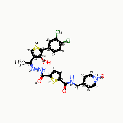 C/C(=N/NC(=O)c1ccc(C(=O)NCc2cc[n+]([O-])cc2)s1)c1csc(-c2ccc(Cl)c(Cl)c2)c1O